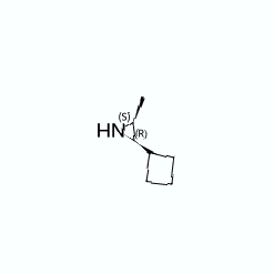 C[C@@H]1N[C@@H]1C1CCC1